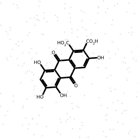 O=C(O)c1c(O)cc2c(c1C(=O)O)C(=O)c1c(O)cc(O)c(O)c1C2=O